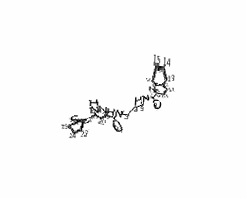 O=C(NCCCNC(=O)c1ccc2ccccc2n1)c1cc(-c2cccs2)[nH]n1